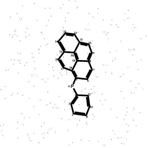 c1ccc([P]c2ccc3ccc4cccc5ccc2c3c45)cc1